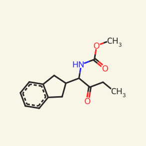 CCC(=O)C(NC(=O)OC)C1Cc2ccccc2C1